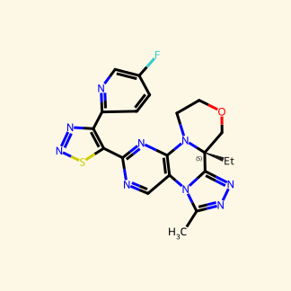 CC[C@]12COCCN1c1nc(-c3snnc3-c3ccc(F)cn3)ncc1-n1c(C)nnc12